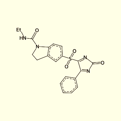 CCNC(=O)N1CCc2cc(S(=O)(=O)C3=NC(=O)N=C3c3ccccc3)ccc21